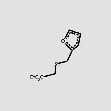 CCOC(=O)CSCc1ccco1